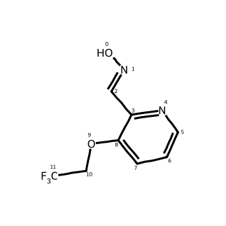 ON=Cc1ncccc1OCC(F)(F)F